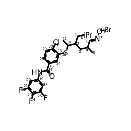 CC(C)CC(CC(C)/C=N/OBr)C(C)Sc1cc(C(=O)Nc2cc(F)c(F)c(F)c2)ccc1Cl